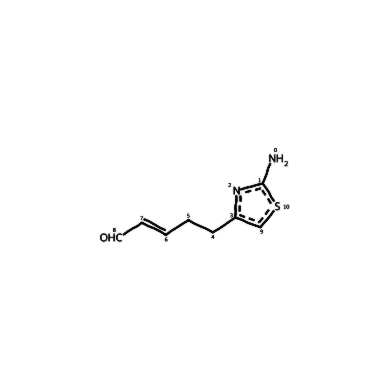 Nc1nc(CCC=CC=O)cs1